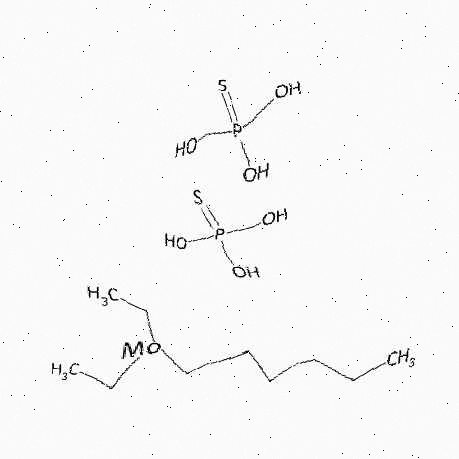 CCCCC[CH2][Mo]([CH2]C)[CH2]C.OP(O)(O)=S.OP(O)(O)=S